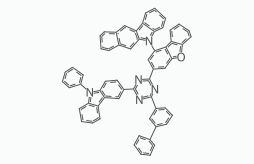 c1ccc(-c2cccc(-c3nc(-c4cc(-n5c6ccccc6c6cc7ccccc7cc65)c5c(c4)oc4ccccc45)nc(-c4ccc5c(c4)c4ccccc4n5-c4ccccc4)n3)c2)cc1